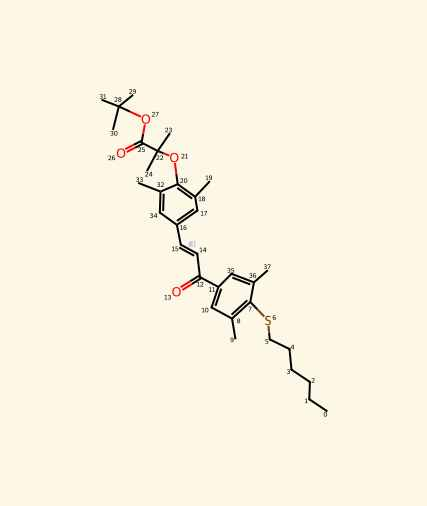 CCCCCCSc1c(C)cc(C(=O)/C=C/c2cc(C)c(OC(C)(C)C(=O)OC(C)(C)C)c(C)c2)cc1C